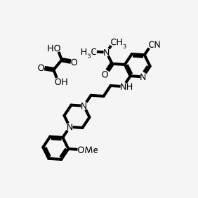 COc1ccccc1N1CCN(CCCNc2ncc(C#N)cc2C(=O)N(C)C)CC1.O=C(O)C(=O)O